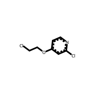 ClCCOc1ccnc(Cl)c1